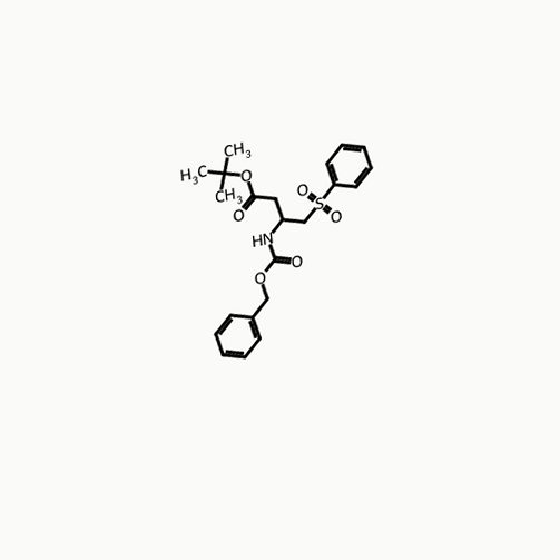 CC(C)(C)OC(=O)CC(CS(=O)(=O)c1ccccc1)NC(=O)OCc1ccccc1